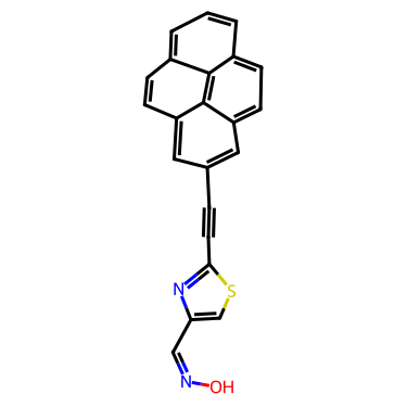 O/N=C\c1csc(C#Cc2cc3ccc4cccc5ccc(c2)c3c45)n1